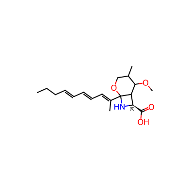 CCCC=CC=CC=C(C)C12N[C@H](C(=O)O)C1C(OC)C(C)CO2